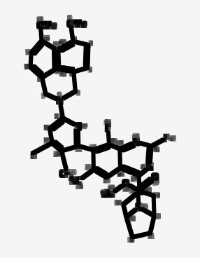 COc1ccc(CN(Cc2ccc(OC)cc2)c2cc(C)c(C(F)(F)F)c(-c3c(C#N)cc4c(N5CC6CCC(C5)N6C(=O)OC(C)(C)C)nc(F)nc4c3F)n2)cc1